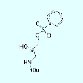 CC(C)(C)NC[C@H](O)COS(=O)(=O)c1ccccc1